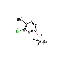 CC(C)(C)c1ccc(O[Si](C)(C)C(C)(C)C)cc1Br